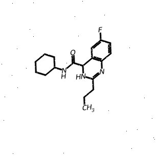 CCCC1=Nc2ccc(F)cc2C(C(=O)NC2CCCCC2)N1